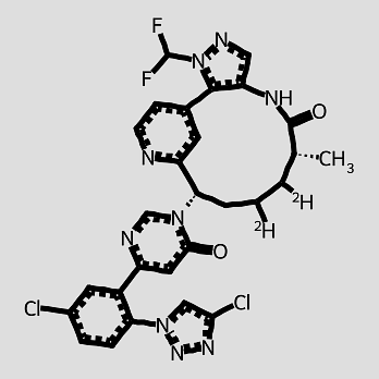 [2H]C1C[C@H](n2cnc(-c3cc(Cl)ccc3-n3cc(Cl)nn3)cc2=O)c2cc(ccn2)-c2c(cnn2C(F)F)NC(=O)[C@H](C)C1[2H]